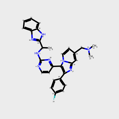 CC(Nc1nccc(-c2c(-c3ccc(F)cc3)nc3cc(CN(C)C)ccn23)n1)c1nc2ccccc2[nH]1